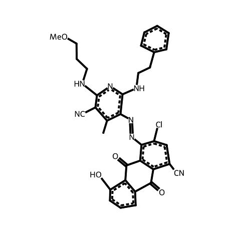 COCCCNc1nc(NCCc2ccccc2)c(/N=N/c2c(Cl)cc(C#N)c3c2C(=O)c2c(O)cccc2C3=O)c(C)c1C#N